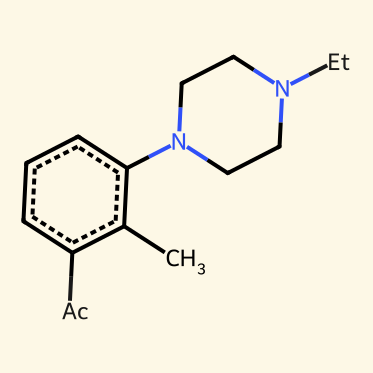 CCN1CCN(c2cccc(C(C)=O)c2C)CC1